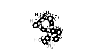 Cc1cc2c3c(c1)N(c1cccc4sc5ccccc5c14)c1cc4c(cc1B3c1ccc3cc1N2c1cc2c(cc1C)C(C)(C)CCC2(C)c1cc2c(cc1C(C)(C)C)C1(C)CCCCC1(C)N32)C(C)(C)CCC4(C)C